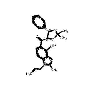 C=CCn1c(C)nc2c(O)c(C(=O)[C@@H]3OC(C)(C)O[C@H]3c3ccccc3)ccc21